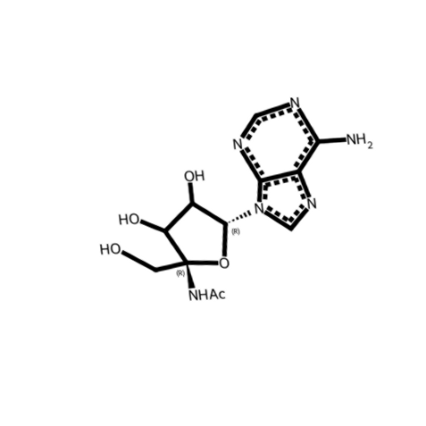 CC(=O)N[C@]1(CO)O[C@@H](n2cnc3c(N)ncnc32)C(O)C1O